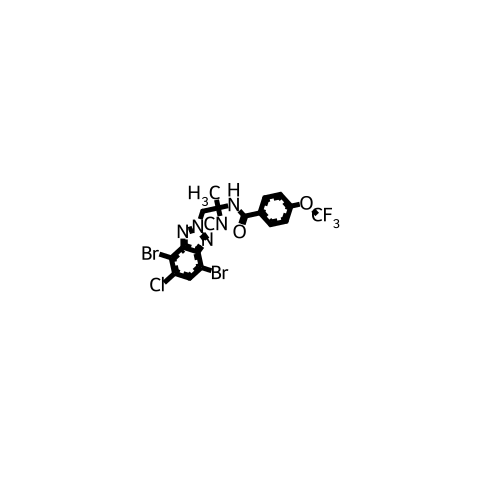 CC(C#N)(Cn1nc2c(Br)cc(Cl)c(Br)c2n1)NC(=O)c1ccc(OC(F)(F)F)cc1